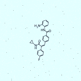 Nc1ccccc1NC(=O)c1ccc(C=C(C(=O)NC2CC2)c2ccc(F)cc2)cc1